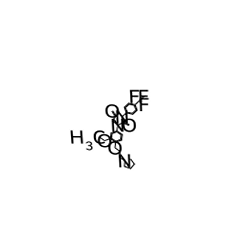 COc1cc(N2CC(=O)N(c3ccc(C(F)(F)F)cc3)C2=O)ccc1OCCN1CCCC1